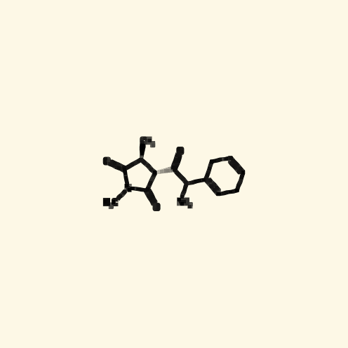 C[C@@H]1C(=O)N(C)C(=O)[C@H]1C(=O)C(N)C1=CCC=CC1